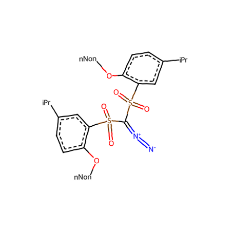 CCCCCCCCCOc1ccc(C(C)C)cc1S(=O)(=O)C(=[N+]=[N-])S(=O)(=O)c1cc(C(C)C)ccc1OCCCCCCCCC